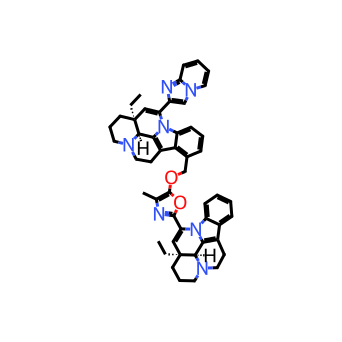 CC[C@@]12C=C(c3nc(C)c(OCc4cccc5c4c4c6n5C(c5cn7ccccc7n5)=C[C@]5(CC)CCCN(CC4)[C@H]65)o3)n3c4c(c5ccccc53)CCN(CCC1)[C@H]42